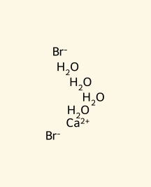 O.O.O.O.[Br-].[Br-].[Ca+2]